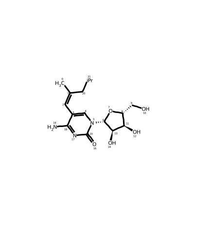 CC(=Cc1cn([C@@H]2O[C@H](CO)[C@@H](O)[C@H]2O)c(=O)nc1N)CC(C)C